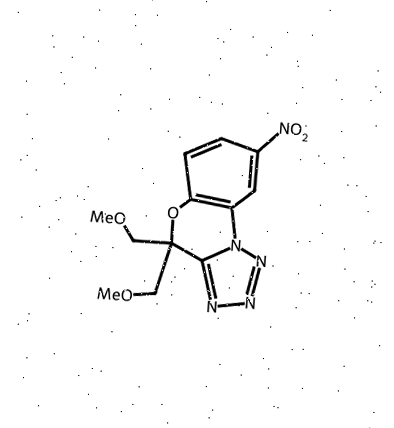 COCC1(COC)Oc2ccc([N+](=O)[O-])cc2-n2nnnc21